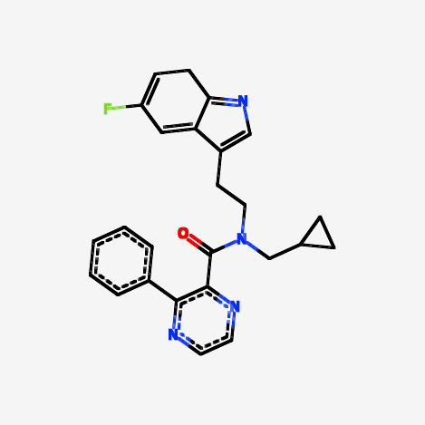 O=C(c1nccnc1-c1ccccc1)N(CCC1=CN=C2CC=C(F)C=C12)CC1CC1